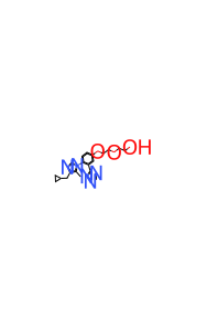 OCCOCCOc1ccc2c(c1)-c1ncnn1Cc1c(CC3CC3)ncn1-2